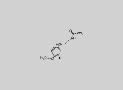 COc1ccc(NCCNC(N)=O)cc1Cl